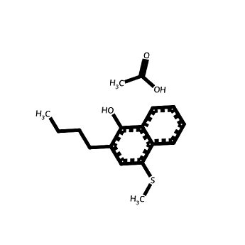 CC(=O)O.CCCCc1cc(SC)c2ccccc2c1O